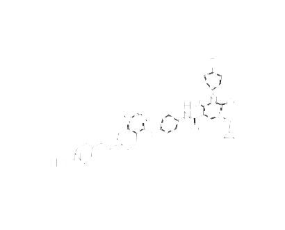 CN1CCC(CCN2CCc3c(ncnc3Oc3ccc(NC(=O)c4cn(CC5CC5)c(=O)n(-c5ccc(F)cc5)c4=O)cc3)C2)CC1